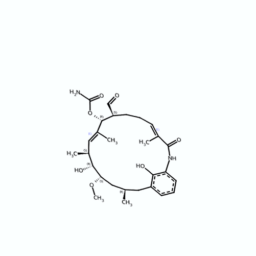 CO[C@H]1C[C@H](C)Cc2cccc(c2O)NC(=O)/C(C)=C/CC[C@H](C=O)[C@@H](OC(N)=O)/C(C)=C/[C@H](C)[C@H]1O